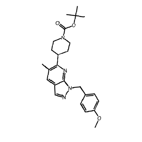 COc1ccc(Cn2ncc3cc(C)c(C4CCN(C(=O)OC(C)(C)C)CC4)nc32)cc1